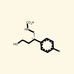 O=C(O)NC[C@@H](CCO)c1ccc(F)cc1